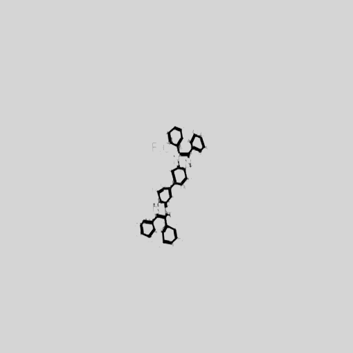 FC(F)(F)c1ccccc1-c1nc2cc(-c3ccc4nc(-c5ccccc5)c(-c5ccccc5)nc4c3)ccc2nc1-c1ccccc1